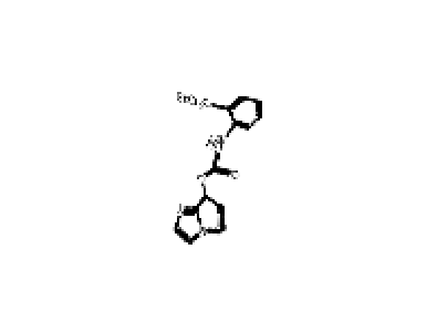 CCOC(=O)c1ccccc1NC(=O)O[C@H]1CCn2ccnc21